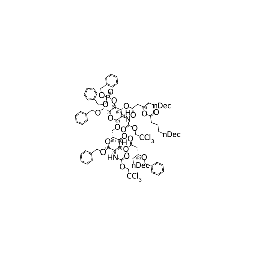 CCCCCCCCCCCCCC(=O)O[C@H](CCCCCCCCCCC)CC(=O)O[C@@H]1[C@@H](NC(=O)OCC(Cl)(Cl)Cl)[C@H](OC[C@H]2O[C@H](OCc3ccccc3)[C@H](NC(=O)OCC(Cl)(Cl)Cl)[C@@H](OC(=O)C[C@@H](CCCCCCCCCCC)OCc3ccccc3)[C@@H]2O)O[C@H](COCc2ccccc2)[C@H]1OP(=O)(OCc1ccccc1)OCc1ccccc1